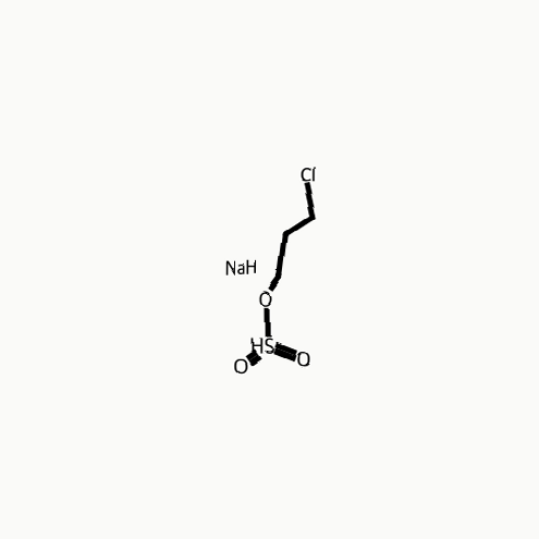 O=[SH](=O)OCCCCl.[NaH]